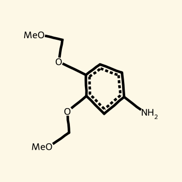 COCOc1ccc(N)cc1OCOC